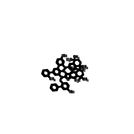 Cc1ccccc1-c1cc2c3c(c1)N(Cc1ccc(C(C)(C)C)cc1-c1ccccc1)c1oc4cc5c(cc4c1B3N(c1ccc3c(c1)C(C)(C)CCC3(C)C)c1cc(C(C)(C)C)ccc1-2)C(C)(C)CCC5(C)C